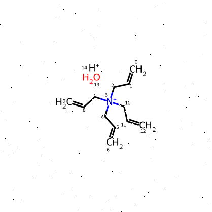 C=CC[N+](CC=C)(CC=C)CC=C.O.[H+]